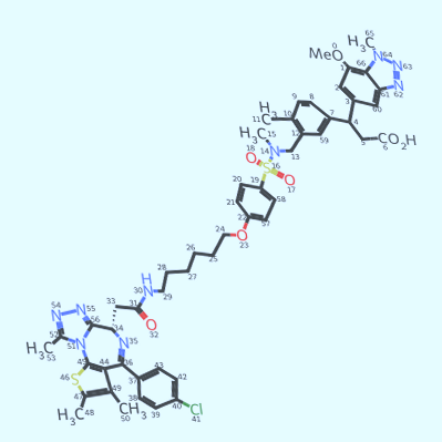 COc1cc(C(CC(=O)O)c2ccc(C)c(CN(C)S(=O)(=O)c3ccc(OCCCCCCNC(=O)C[C@@H]4N=C(c5ccc(Cl)cc5)c5c(sc(C)c5C)-n5c(C)nnc54)cc3)c2)cc2nnn(C)c12